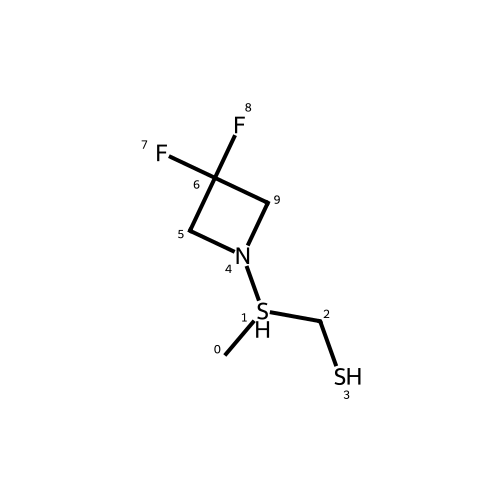 C[SH](CS)N1CC(F)(F)C1